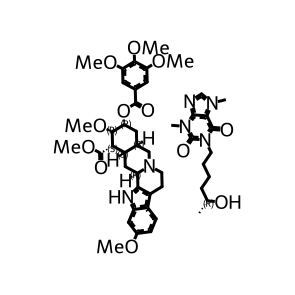 COC(=O)[C@H]1[C@H]2C[C@@H]3c4[nH]c5cc(OC)ccc5c4CCN3C[C@H]2C[C@@H](OC(=O)c2cc(OC)c(OC)c(OC)c2)[C@@H]1OC.C[C@@H](O)CCCCn1c(=O)c2c(ncn2C)n(C)c1=O